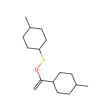 C=C(OSC1CCC(C)CC1)C1CCC(C)CC1